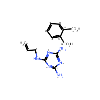 C=CCNc1nc(N)nc(N)n1.O=C(O)c1ccccc1C(=O)O